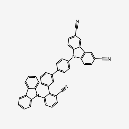 N#Cc1ccc2c(c1)c1cc(C#N)ccc1n2-c1ccc(-c2cccc(-c3c(C#N)cccc3-n3c4ccccc4c4ccccc43)c2)cc1